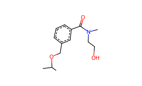 CC(C)OCc1cccc(C(=O)N(C)CCO)c1